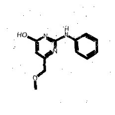 COCc1cc(O)nc(Nc2ccccc2)n1